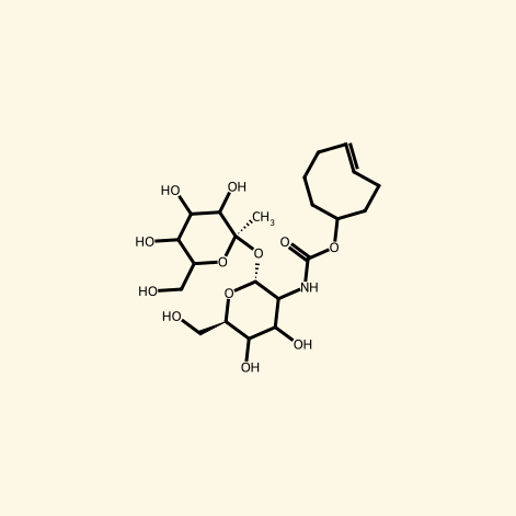 C[C@]1(O[C@H]2O[C@H](CO)C(O)C(O)C2NC(=O)OC2CC/C=C/CCC2)OC(CO)C(O)C(O)C1O